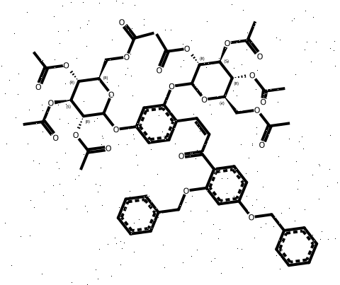 CC(=O)OC[C@H]1OC(Oc2ccc(C=CC(=O)c3ccc(OCc4ccccc4)cc3OCc3ccccc3)c(OC3O[C@H](COC(C)=O)[C@@H](OC(C)=O)[C@H](OC(C)=O)[C@H]3OC(C)=O)c2)[C@H](OC(C)=O)[C@@H](OC(C)=O)[C@@H]1OC(C)=O